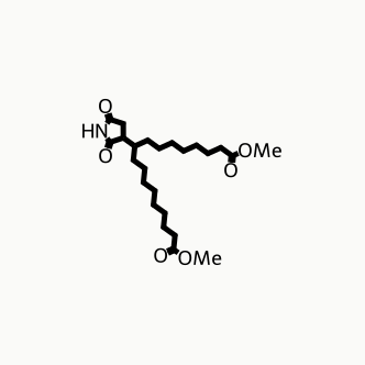 COC(=O)CCCCCCCCC(CCCCCCCC(=O)OC)C1CC(=O)NC1=O